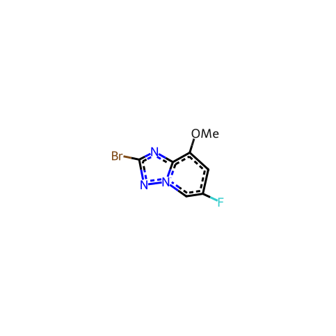 COc1cc(F)cn2nc(Br)nc12